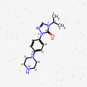 CC(C)n1cnn(-c2ccc(N3CCNCC3)cc2)c1=O